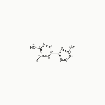 CC(=O)c1cccc(-c2ccc(O)c(C)c2)c1